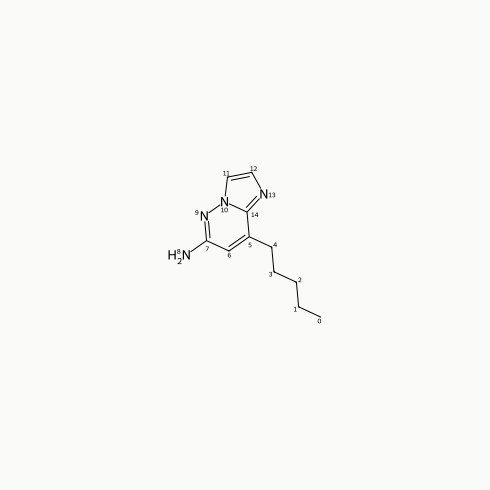 CCCCCc1cc(N)nn2ccnc12